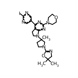 CC1(C)CN=C(N2CC[C@](C)(N3CCc4c(-c5cnc(I)nc5)nc(N5CCOCC5)nc43)C2)O1